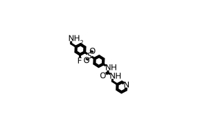 NCc1ccc(S(=O)(=O)c2ccc(NC(=O)NCc3cccnc3)cc2)c(F)c1